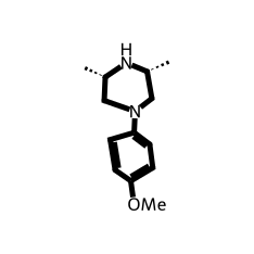 COc1ccc(N2C[C@@H](C)N[C@@H](C)C2)cc1